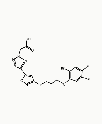 O=C(O)Cn1nnc(-c2cc(OCCCOc3cc(F)c(F)cc3Br)no2)n1